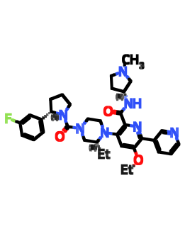 CCOc1cc(N2CCN(C(=O)N3CCC[C@H]3c3cccc(F)c3)C[C@H]2CC)c(C(=O)N[C@@H]2CCN(C)C2)nc1-c1cccnc1